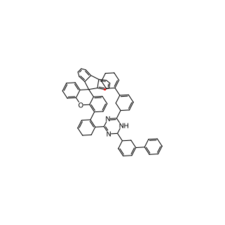 C1=CC(C2=NC(C3=C(c4cccc5c4Oc4ccccc4C54c5ccccc5-c5ccccc54)C=CCC3)=NC(C3C=CC=C(c4ccccc4)C3)N2)CC(C2=CCCCC2)=C1